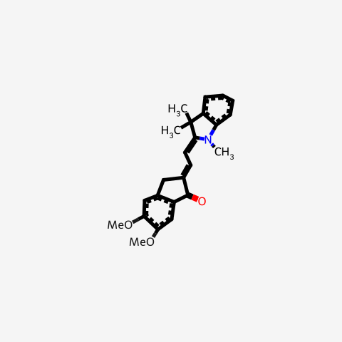 COc1cc2c(cc1OC)C(=O)C(=CC=C1N(C)c3ccccc3C1(C)C)C2